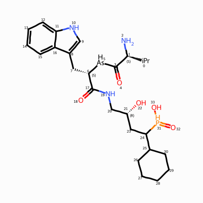 CC(C)[C@H](N)C(=O)[AsH][C@@H](Cc1c[nH]c2ccccc12)C(=O)NC[C@H](O)CC(C1CCCCC1)[PH](=O)O